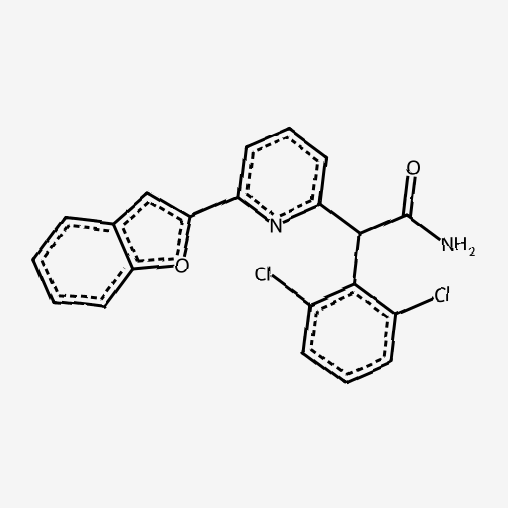 NC(=O)C(c1cccc(-c2cc3ccccc3o2)n1)c1c(Cl)cccc1Cl